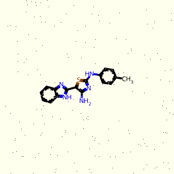 Cc1ccc(Nc2nc(N)c(-c3nc4ccccc4[nH]3)s2)cc1